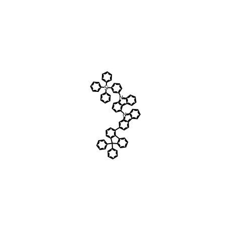 c1ccc(C2(c3ccccc3)c3ccccc3-c3c(-c4ccc5c6ccccc6n(-c6cccc7c6c6ccccc6n7-c6cccc([Si](c7ccccc7)(c7ccccc7)c7ccccc7)c6)c5c4)cccc32)cc1